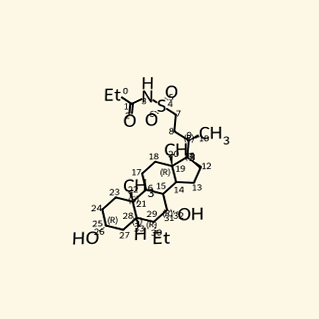 CCC(=O)NS(=O)(=O)CC[C@@H](C)[C@H]1CCC2C3C(CC[C@@]21C)[C@@]1(C)CC[C@@H](O)C[C@H]1[C@@H](CC)[C@H]3O